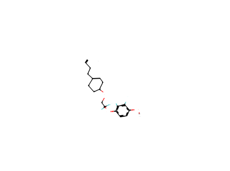 C=CCCC1CCC(OCC(F)(F)Oc2ccc(OCC)c(F)c2F)CC1